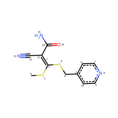 CS/C(SCc1ccncc1)=C(\C#N)C(N)=O